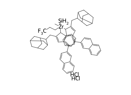 Cl.Cl.[CH3][Zr](=[SiH2])([CH2]CC(F)(F)F)([CH]1C(CC2C3CC4CC(C3)CC2C4)=Cc2c(-c3ccc4ccccc4c3)cccc21)[CH]1C(CC2C3CC4CC(C3)CC2C4)=Cc2c(-c3ccc4ccccc4c3)cccc21